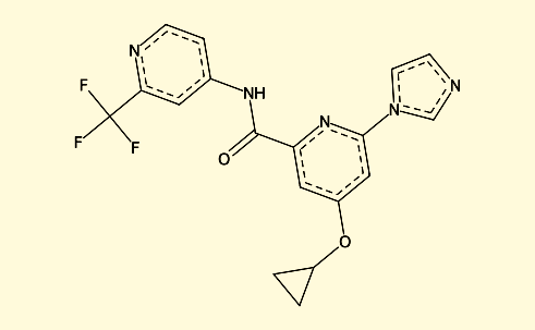 O=C(Nc1ccnc(C(F)(F)F)c1)c1cc(OC2CC2)cc(-n2ccnc2)n1